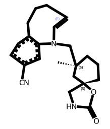 C[C@]1(CN2/C=C/CCCc3ccc(C#N)cc32)CCC[C@@]2(CNC(=O)O2)C1